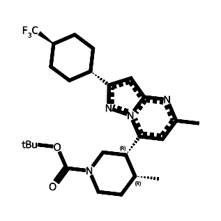 Cc1cc([C@H]2CN(C(=O)OC(C)(C)C)CC[C@H]2C)n2nc([C@H]3CC[C@H](C(F)(F)F)CC3)cc2n1